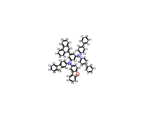 c1ccc(-c2ccc(N(c3ccc(-c4ccccc4)cc3)c3cc(-c4cc5ccccc5c5ccccc45)cc(N(c4ccc5c(c4)sc4ccccc45)c4ccc5oc6ccccc6c5c4)c3)cc2)cc1